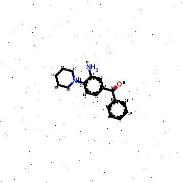 Nc1cc(C(=O)c2ccccc2)ccc1N1CCCCC1